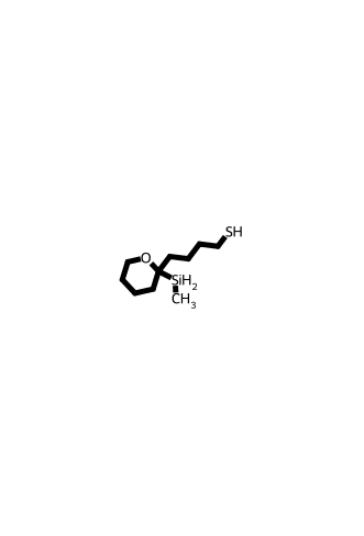 C[SiH2]C1(CCCCS)CCCCO1